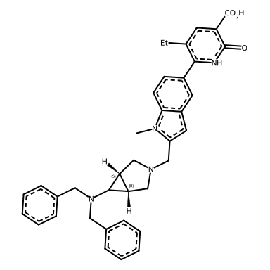 CCc1cc(C(=O)O)c(=O)[nH]c1-c1ccc2c(c1)cc(CN1C[C@@H]3C(N(Cc4ccccc4)Cc4ccccc4)[C@@H]3C1)n2C